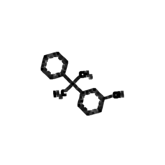 CC(C)(c1ccccc1)c1cccc(O)c1